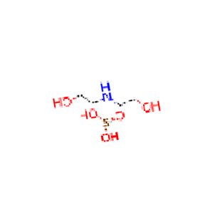 O=S(O)O.OCCNCCO